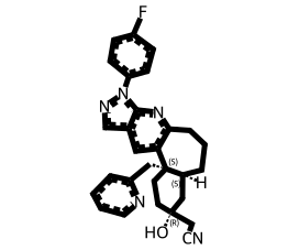 N#CC[C@@]1(O)CC[C@@]2(Cc3ccccn3)c3cc4cnn(-c5ccc(F)cc5)c4nc3CCC[C@H]2C1